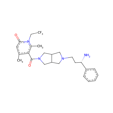 Cc1cc(=O)n(CC(F)(F)F)c(C)c1C(=O)N1CC2CN(CC[C@H](N)c3ccccc3)CC2C1